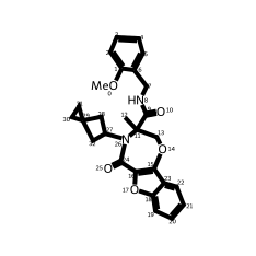 COc1ccccc1CNC(=O)C1(C)COc2c(oc3ccccc23)C(=O)N1C1CC2(CC2)C1